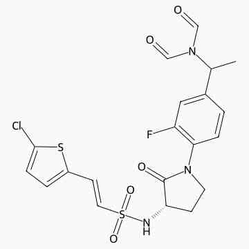 CC(c1ccc(N2CC[C@H](NS(=O)(=O)C=Cc3ccc(Cl)s3)C2=O)c(F)c1)N(C=O)C=O